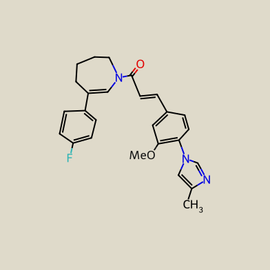 COc1cc(C=CC(=O)N2C=C(c3ccc(F)cc3)CCCC2)ccc1-n1cnc(C)c1